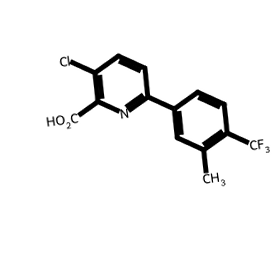 Cc1cc(-c2ccc(Cl)c(C(=O)O)n2)ccc1C(F)(F)F